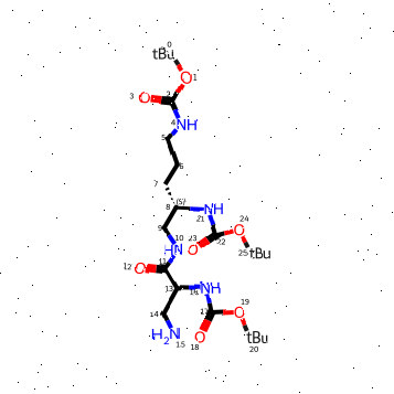 CC(C)(C)OC(=O)NCCC[C@@H](CNC(=O)C(CN)NC(=O)OC(C)(C)C)NC(=O)OC(C)(C)C